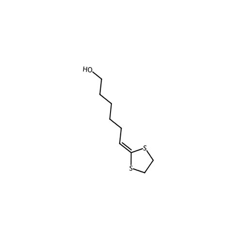 OCCCCCC=C1SCCS1